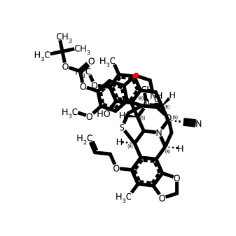 C=CCOc1c(C)c2c(c3c1[C@H]1SC[C@]4(NCCc5cc(OC(=O)OC(C)(C)C)c(OC)cc54)C(=O)OC[C@@H]3N3C1[C@@H]1c4c(cc(C)c(OC)c4O)C[C@H]([C@@H]3C#N)N1C)OCO2